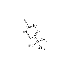 CC(C)(C)c1cnc(I)nc1